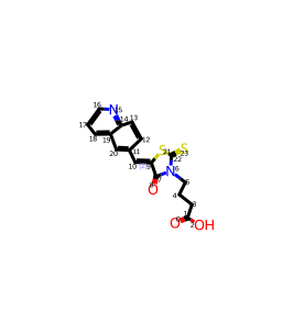 O=C(O)CCCN1C(=O)/C(=C/c2ccc3ncccc3c2)SC1=S